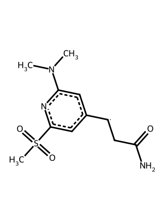 CN(C)c1cc([CH]CC(N)=O)cc(S(C)(=O)=O)n1